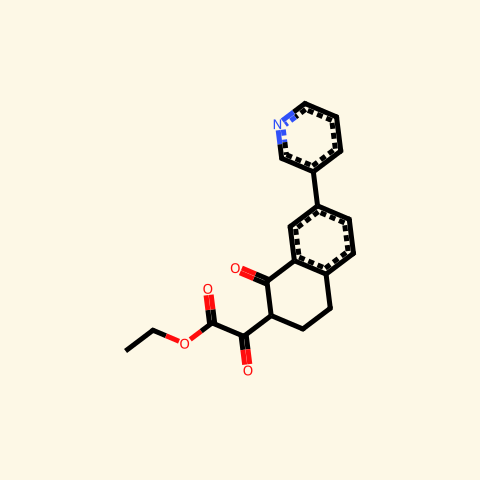 CCOC(=O)C(=O)C1CCc2ccc(-c3cccnc3)cc2C1=O